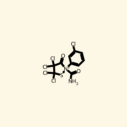 NC(=O)[N+]1(c2cccc(Cl)c2)SC(Cl)(Cl)C(Cl)(Cl)C1=O